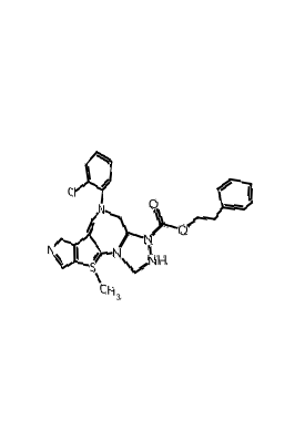 CS1=C2C(=CN(c3ccccc3Cl)CC3N2CNN3C(=O)OCCc2ccccc2)C2=C1C=NC2